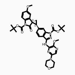 COc1ccc2c(c1)[C@]1(C[C@H]1c1ccc3c(Nc4nc(N5CCOCC5)cnc4OC)nn(C(=O)OC(C)(C)C)c3c1)C(=O)N2C(=O)OC(C)(C)C